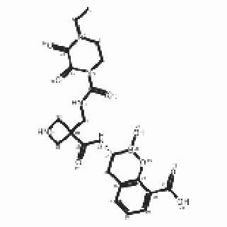 CCN1CCN(C(=O)NCC2(C(=O)N[C@H]3Cc4cccc(C(=O)O)c4OB3O)CNC2)C(=O)C1=O